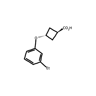 CCc1cccc(O[C@H]2C[C@H](C(=O)O)C2)c1